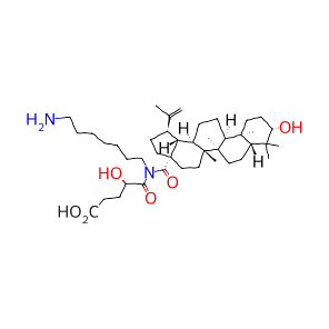 C=C(C)[C@@H]1CC[C@]2(C(=O)N(CCCCCCCN)C(=O)[C@H](O)CCC(=O)O)CC[C@]3(C)[C@H](CC[C@H]4[C@@]5(C)CC[C@H](O)C(C)(C)[C@@H]5CC[C@]43C)[C@@H]12